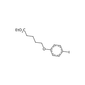 CCOC(=O)CCCCOc1ccc(I)cc1